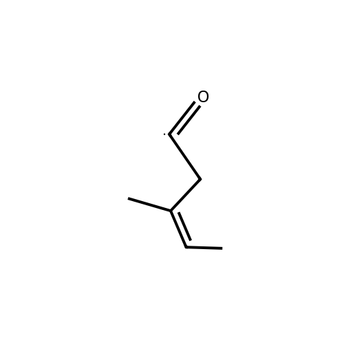 CC=C(C)C[C]=O